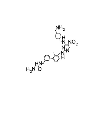 Cc1c(CNc2ncc([N+](=O)[O-])c(NC[C@H]3CC[C@H](CN)CC3)n2)cccc1-c1cccc(CNC(=O)CN)c1